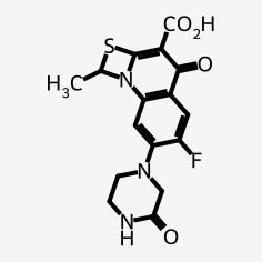 CC1Sc2c(C(=O)O)c(=O)c3cc(F)c(N4CCNC(=O)C4)cc3n21